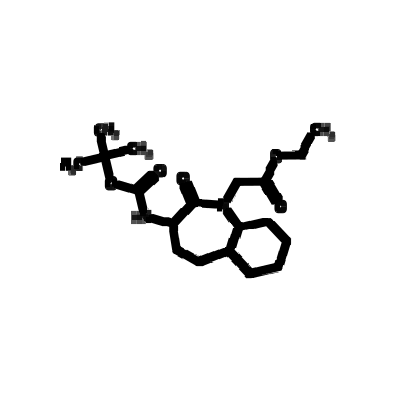 CCOC(=O)CN1C(=O)C(NC(=O)OC(C)(C)C)CCC2CCCCC21